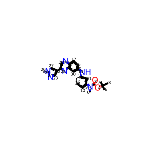 CN(C(=O)OC(C)(C)C)c1cccc(Nc2ccc3ncc(-c4cnn(C)c4)nc3c2)c1